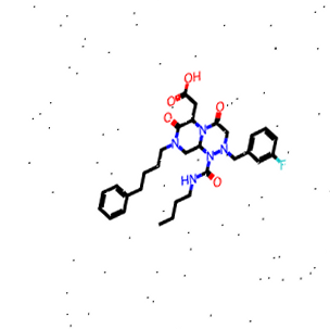 CCCCNC(=O)N1C2CN(CCCCc3ccccc3)C(=O)C(CC(=O)O)N2C(=O)CN1Cc1cccc(F)c1